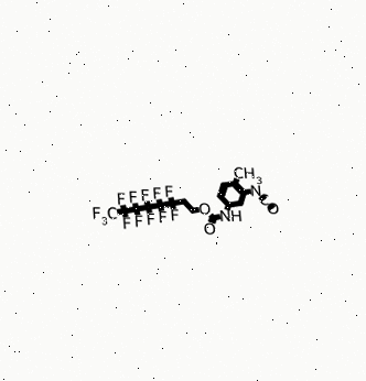 CC1=C(N=C=O)CC(NC(=O)OCCC(F)(F)C(F)(F)C(F)(F)C(F)(F)C(F)(F)C(F)(F)F)C=C1